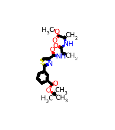 C=C(NC(=O)c1csc(-c2cccc(C(=O)OC(C)(C)C)c2)n1)C(=O)NC(=C)C(=O)OC